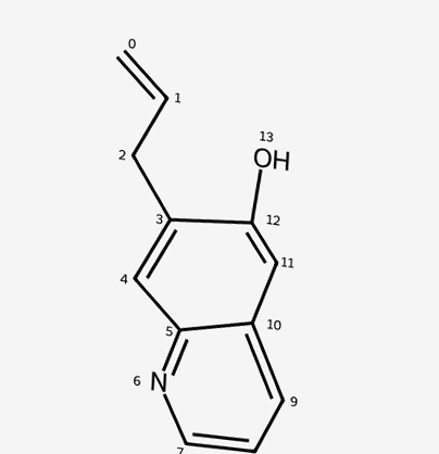 C=CCc1cc2ncccc2cc1O